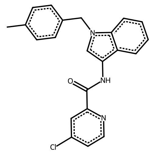 Cc1ccc(Cn2cc(NC(=O)c3cc(Cl)ccn3)c3ccccc32)cc1